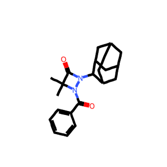 CC1(C)C(=O)N(C2C3CC4CC(C3)CC2C4)N1C(=O)c1ccccc1